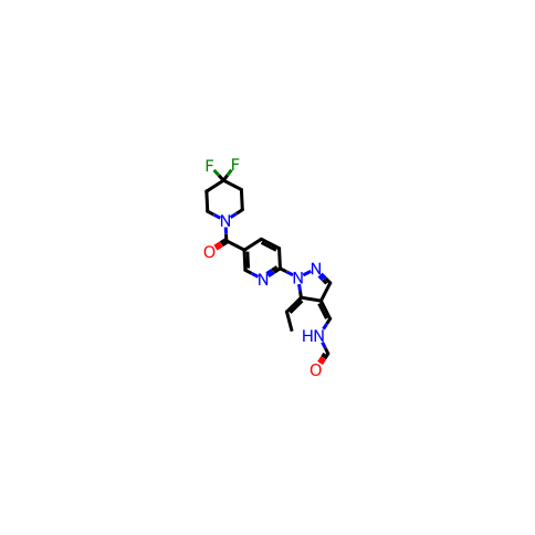 C/C=c1\c(=C/NC=O)cnn1-c1ccc(C(=O)N2CCC(F)(F)CC2)cn1